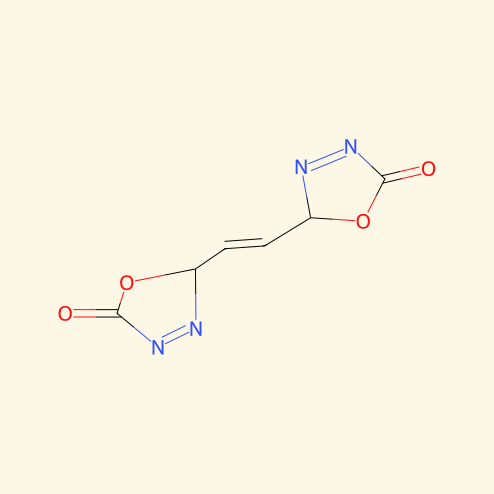 O=C1N=NC(C=CC2N=NC(=O)O2)O1